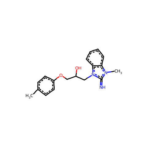 Cc1ccc(OCC(O)Cn2c(=N)n(C)c3ccccc32)cc1